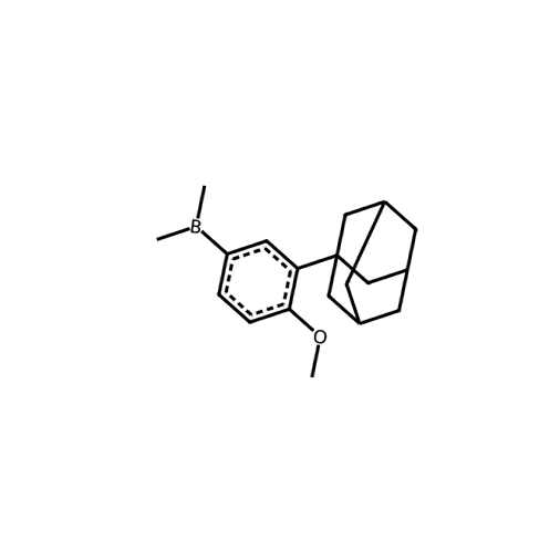 COc1ccc(B(C)C)cc1C12CC3CC(CC(C3)C1)C2